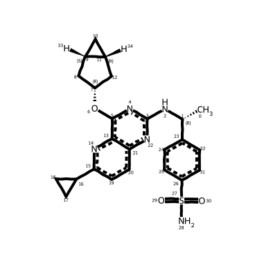 C[C@@H](Nc1nc(O[C@@H]2C[C@@H]3C[C@@H]3C2)c2nc(C3CC3)ccc2n1)c1ccc(S(N)(=O)=O)cc1